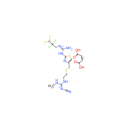 CN/C(=N/C#N)NCCSCc1csc(N/C(N)=N\CC(F)(F)C(F)F)n1.O=C(O)/C=C\C(=O)O